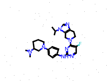 CC(C)n1cnc2c1CN(c1nc(Nc3ccc(N4CCCC(N(C)C)C4)cc3)ncc1F)CC2